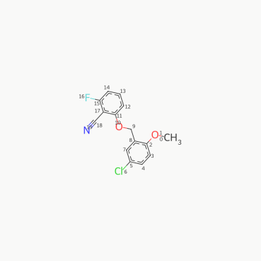 COc1ccc(Cl)cc1COc1cccc(F)c1C#N